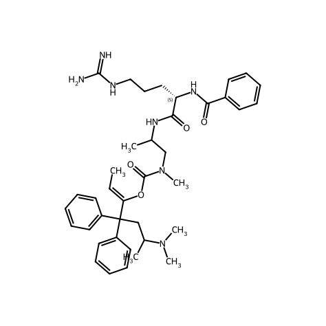 CC=C(OC(=O)N(C)CC(C)NC(=O)[C@H](CCCNC(=N)N)NC(=O)c1ccccc1)C(CC(C)N(C)C)(c1ccccc1)c1ccccc1